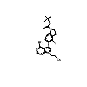 COCCn1cc(-c2ccc3c(c2F)CCN3C(=O)OC(C)(C)C)c2c(N)ncnc21